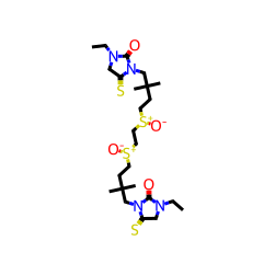 CCN1CC(=S)N(CC(C)(C)CC[S+]([O-])CC[S+]([O-])CCC(C)(C)CN2C(=O)N(CC)CC2=S)C1=O